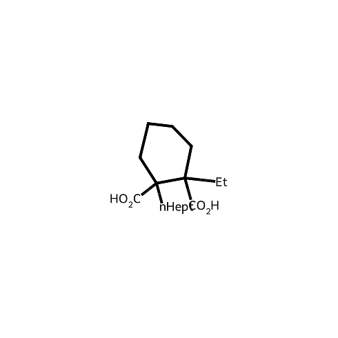 CCCCCCCC1(C(=O)O)CCCCC1(CC)C(=O)O